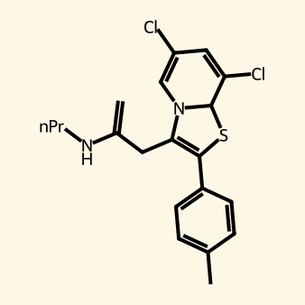 C=C(CC1=C(c2ccc(C)cc2)SC2C(Cl)=CC(Cl)=CN12)NCCC